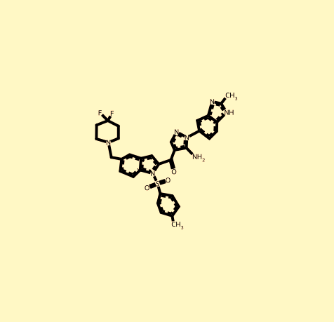 Cc1ccc(S(=O)(=O)n2c(C(=O)c3cnn(-c4ccc5[nH]c(C)nc5c4)c3N)cc3cc(CN4CCC(F)(F)CC4)ccc32)cc1